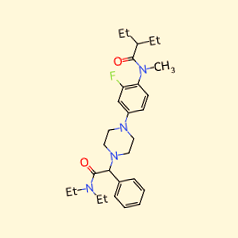 CCC(CC)C(=O)N(C)c1ccc(N2CCN(C(C(=O)N(CC)CC)c3ccccc3)CC2)cc1F